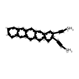 [SiH3]C#Cc1cc2cc3cc4cc5ccccc5cc4cc3cc2cc1C#C[SiH3]